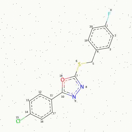 Fc1ccc(CSc2nnc(-c3ccc(Cl)cc3)o2)cc1